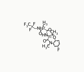 CC(C(=O)NCC(F)(F)C(F)(F)F)C(=O)N[C@@H]1C(=O)N(C)c2cc(F)ccc2O[C@@H]1C